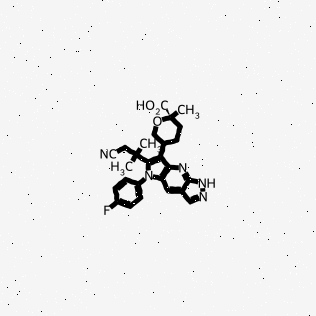 CC(C)(CC#N)c1c(C2CC[C@@](C)(C(=O)O)OC2)c2nc3[nH]ncc3cc2n1-c1ccc(F)cc1